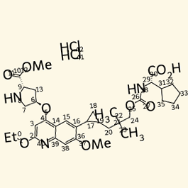 CCOc1cc(O[C@H]2CN[C@H](C(=O)OC)C2)c2cc(C3CC3CC(C)(C)COC(=O)N[C@H](C(=O)O)C3CCCC3)c(OC)cc2n1.Cl.Cl